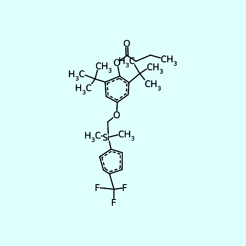 CCCC(=O)Oc1c(C(C)(C)C)cc(OC[Si](C)(C)c2ccc(C(F)(F)F)cc2)cc1C(C)(C)C